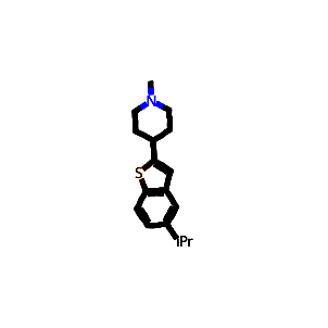 CC(C)c1ccc2sc(C3CCN(C)CC3)cc2c1